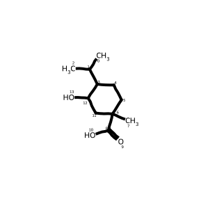 CC(C)C1CCC(C)(C(=O)O)CC1O